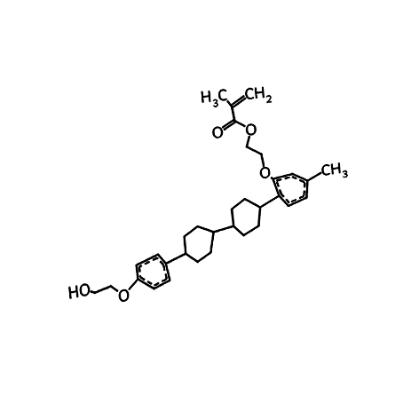 C=C(C)C(=O)OCCOc1cc(C)ccc1C1CCC(C2CCC(c3ccc(OCCO)cc3)CC2)CC1